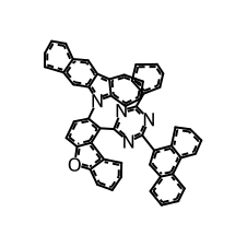 c1ccc(-c2nc(-c3cc4ccccc4c4ccccc34)nc(-c3c(-n4c5ccccc5c5cc6ccccc6cc54)ccc4oc5ccccc5c34)n2)cc1